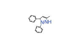 CC1=CC(c2ccccc2)N(c2ccccc2)N1